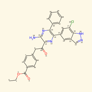 CCOC(=O)c1ccc(CC(=O)c2nc(-c3cc(Cl)c4[nH]ncc4c3)c(-c3ccccc3)nc2N)cc1